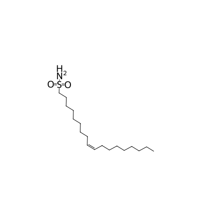 CCCCCCCC/C=C\CCCCCCCCS(N)(=O)=O